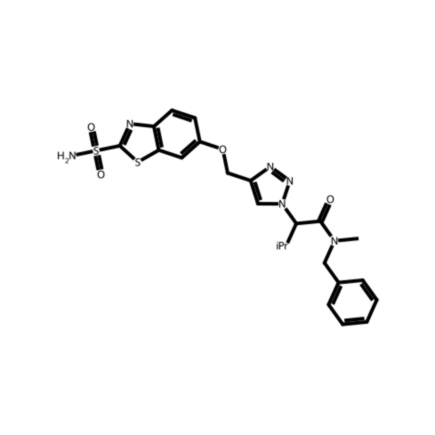 CC(C)C(C(=O)N(C)Cc1ccccc1)n1cc(COc2ccc3nc(S(N)(=O)=O)sc3c2)nn1